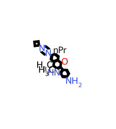 CCCc1cc2c(cc1N1CCN(C3CCC3)CC1)C(C)(C)c1[nH]c3cc(N)ccc3c1C2=O